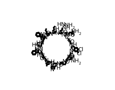 CCCC[C@H]1C(=O)N(C)[C@@H](CCCC)C(=O)N[C@@H](CCCNC(=N)N)C(=O)N[C@H](C(=O)NCC(N)=O)CSCC(=O)N[C@@H](Cc2ccc(Cl)c(Cl)c2)C(=O)N(C)[C@@H](C)C(=O)N[C@@H](CC(N)=O)C(=O)N2CCC[C@H]2C(=O)N[C@@H](Cc2cnc[nH]2)C(=O)N[C@@H](CC(C)C)C(=O)N(C)CC(=O)N[C@@H](Cc2c[nH]c3ccccc23)C(=O)N[C@@H](CO)C(=O)N[C@@H](Cc2c[nH]c3ccccc23)C(=O)N1C